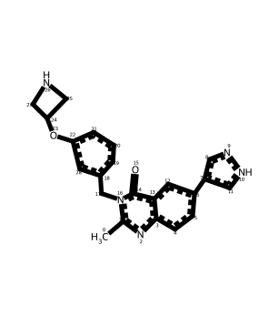 Cc1nc2ccc(-c3cn[nH]c3)cc2c(=O)n1Cc1cccc(OC2CNC2)c1